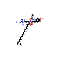 CCCCCCCCCCCCCCC[CH]C(=O)C(CCCNC(=N)N)NC(=O)C(Cc1ccc(O)cc1)NC(C)=O